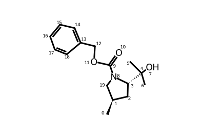 C[C@@H]1C[C@@H](C(C)(C)O)N(C(=O)OCc2ccccc2)C1